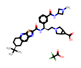 CN1CC(NC(=O)c2cccc([C@@H](CCN3CC4C(C3)C4C(=O)O)NC(=O)c3nc4cc5c(nc4s3)CC[C@H](C(C)(C)C)C5)c2)C1.O=C(O)C(F)(F)F